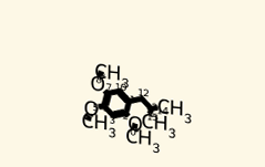 COc1cc(OC)c(OC)cc1CC(C)C